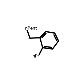 CCCCC[CH]c1ccccc1CCC